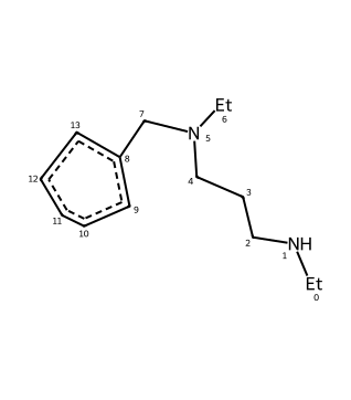 CCNCCCN(CC)Cc1ccccc1